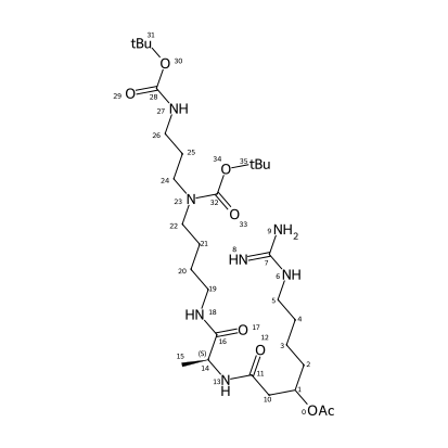 CC(=O)OC(CCCCNC(=N)N)CC(=O)N[C@@H](C)C(=O)NCCCCN(CCCNC(=O)OC(C)(C)C)C(=O)OC(C)(C)C